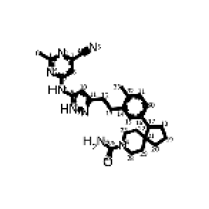 Cc1nc(C#N)cc(Nc2cc(CCc3cc(C4CCCC45CCN(C(N)=O)CC5)ccc3C)n[nH]2)n1